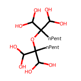 CCCCCC(OC(CCCCC)(C(O)O)C(O)O)(C(O)O)C(O)O